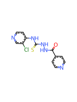 O=C(NNC(=S)Nc1ccncc1Cl)c1ccncc1